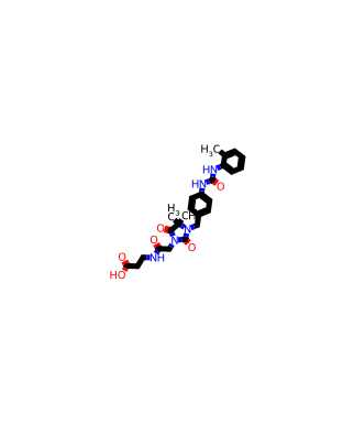 Cc1ccccc1NC(=O)Nc1ccc(CN2C(=O)N(CC(=O)NCCC(=O)O)C(=O)C2(C)C)cc1